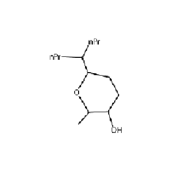 CCCC(CCC)C1CCC(O)C(C)O1